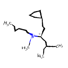 CCCN(C)[C@@H](CC1CC1)C(C)C